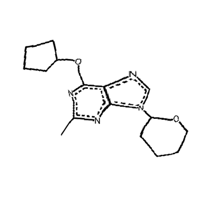 Cc1nc(OC2CCCC2)c2ncn(C3CCCCO3)c2n1